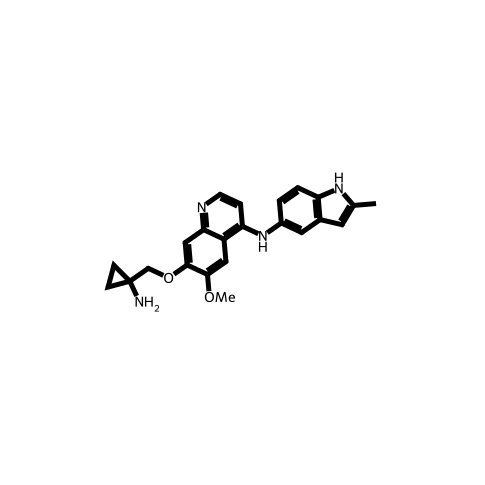 COc1cc2c(Nc3ccc4[nH]c(C)cc4c3)ccnc2cc1OCC1(N)CC1